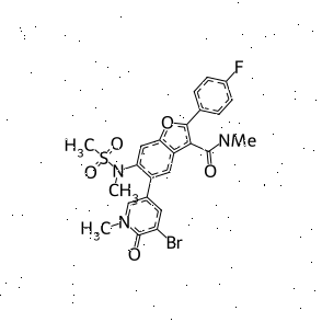 CNC(=O)c1c(-c2ccc(F)cc2)oc2cc(N(C)S(C)(=O)=O)c(-c3cc(Br)c(=O)n(C)c3)cc12